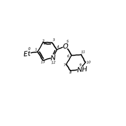 CCc1ccc(OC2CCNCC2)nc1